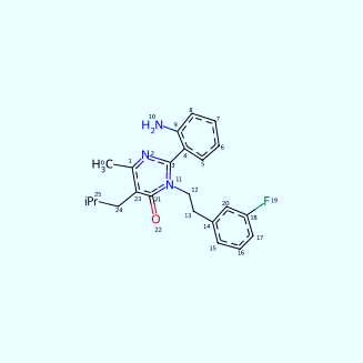 Cc1nc(-c2ccccc2N)n(CCc2cccc(F)c2)c(=O)c1CC(C)C